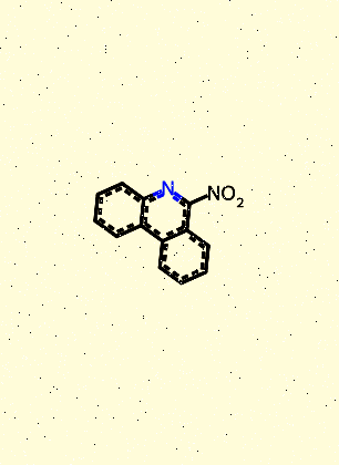 O=[N+]([O-])c1nc2ccccc2c2ccccc12